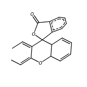 C/C=C1/OC2C=CC=CC2C2(OC(=O)c3ccccc32)/C1=C/C